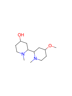 COC1CCN(C)C(C2CC(O)CCN2C)C1